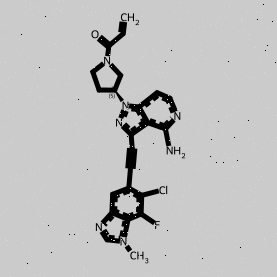 C=CC(=O)N1CC[C@H](n2nc(C#Cc3cc4ncn(C)c4c(F)c3Cl)c3c(N)nccc32)C1